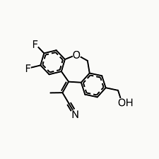 C/C(C#N)=C1/c2ccc(CO)cc2COc2cc(F)c(F)cc21